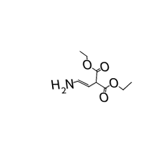 CCOC(=O)C(C=CN)C(=O)OCC